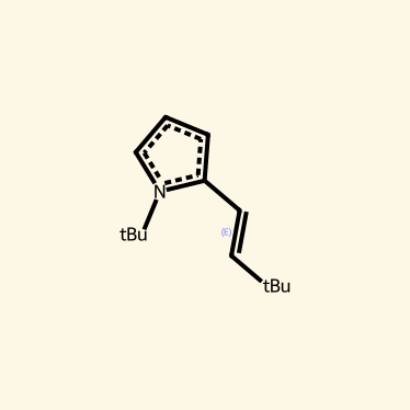 CC(C)(C)/C=C/c1cccn1C(C)(C)C